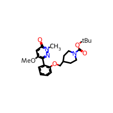 COc1cc(=O)n(C)nc1-c1ccccc1OCC1CCN(C(=O)OC(C)(C)C)CC1